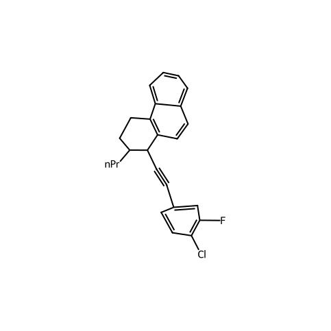 CCCC1CCc2c(ccc3ccccc23)C1C#Cc1ccc(Cl)c(F)c1